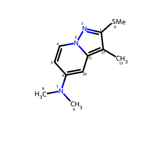 CSc1nn2ccc(N(C)C)cc2c1C